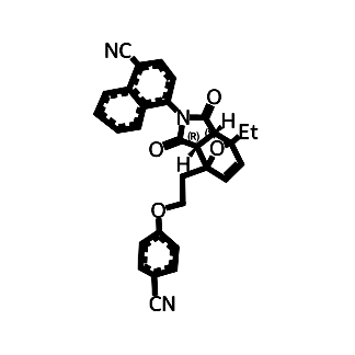 CCC12C=CC(CCOc3ccc(C#N)cc3)(O1)[C@@H]1C(=O)N(c3ccc(C#N)c4ccccc34)C(=O)[C@@H]12